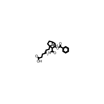 CN1C2CCC1(CCCCCC(=O)O)C(C(N)=O)C(OC(=O)c1ccccc1)C2